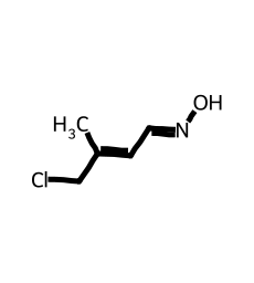 C/C(=C\C=N\O)CCl